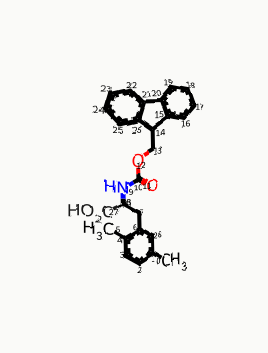 Cc1ccc(C)c(C[C@H](NC(=O)OCC2c3ccccc3-c3ccccc32)C(=O)O)c1